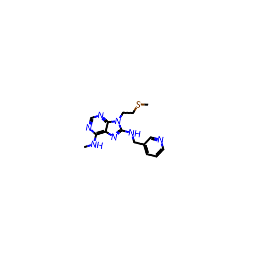 CNc1ncnc2c1nc(NCc1cccnc1)n2CCSC